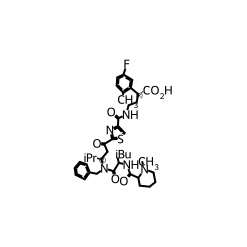 CCC(C)C(NC(=O)C1CCCCN1C)C(=O)N(Cc1ccccc1)[C@H](CC(=O)c1nc(C(=O)NCC[C@@H](C(=O)O)c2cc(F)ccc2C)cs1)C(C)C